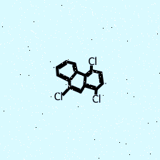 Clc1cc2c(Cl)[c]cc(Cl)c2c2cc[c]cc12